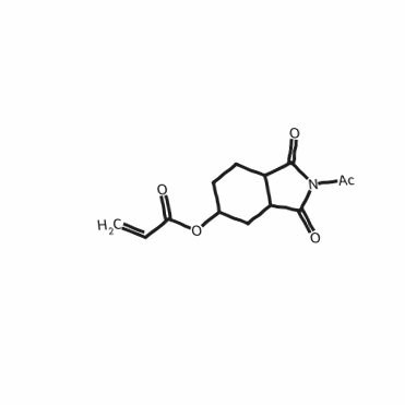 C=CC(=O)OC1CCC2C(=O)N(C(C)=O)C(=O)C2C1